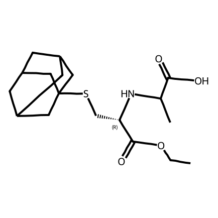 CCOC(=O)[C@H](CSC12CC3CC(CC(C3)C1)C2)NC(C)C(=O)O